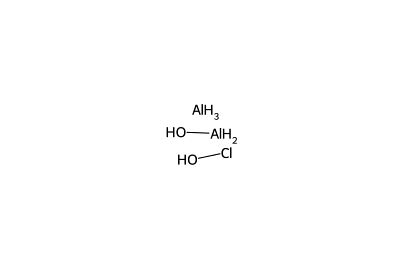 OCl.[AlH3].[OH][AlH2]